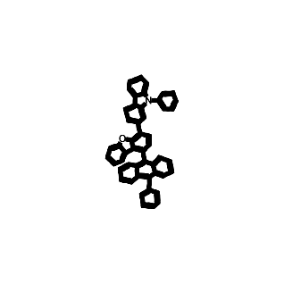 c1ccc(-c2c3ccccc3c(-c3ccc(-c4ccc5c6ccccc6n(-c6ccccc6)c5c4)c4oc5ccccc5c34)c3ccccc23)cc1